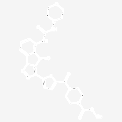 CC(C)(C)OC(=O)N1CCN(C(=O)c2ccc(C3=C4C(=O)c5c(NC(=O)NN6CCOCC6)cccc5C4N=N3)s2)CC1